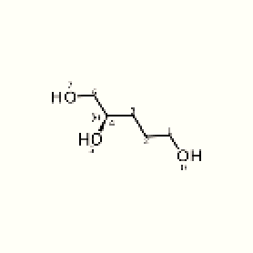 OCCC[C@@H](O)CO